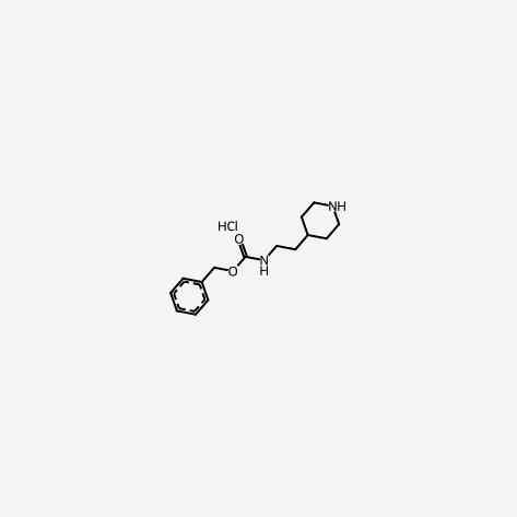 Cl.O=C(NCCC1CCNCC1)OCc1ccccc1